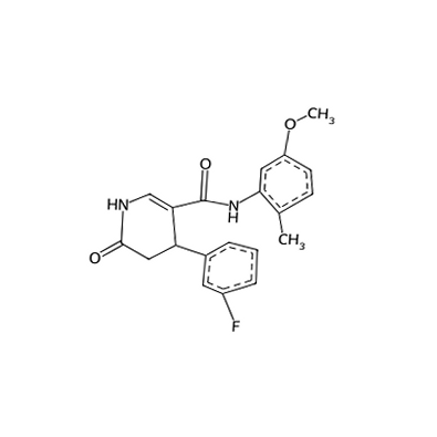 COc1ccc(C)c(NC(=O)C2=CNC(=O)CC2c2cccc(F)c2)c1